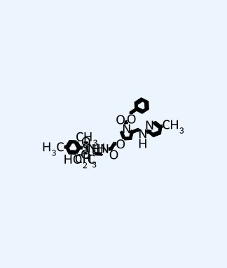 Cc1ccc(NCC2CC(OCC(=O)NCC(NS(=O)(=O)c3c(C)cc(C)cc3C)C(=O)O)CN2C(=O)OCc2ccccc2)nc1